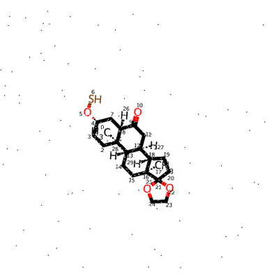 C[C@]12CC[C@H](OS)C[C@@H]1C(=O)C[C@@H]1[C@@H]2CC[C@@]2(C)[C@H]1CCC21OCCO1